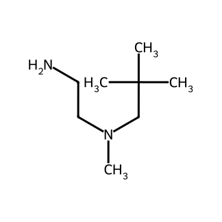 CN(CCN)CC(C)(C)C